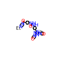 CCN1CCN(C(=O)c2ccc(NC(=O)Nc3ccc(-c4nc(N5CCOCC5)nc(N5CCOC[C@@H]5C)n4)cc3)cc2)CC1